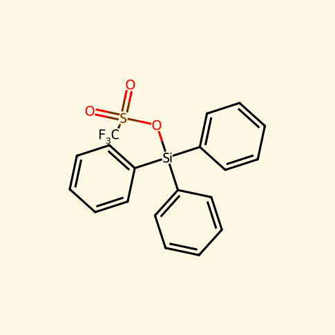 O=S(=O)(O[Si](c1ccccc1)(c1ccccc1)c1ccccc1)C(F)(F)F